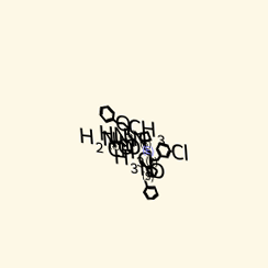 CC(OCc1ccccc1)[C@H](NC(=O)[C@H](C)N)C(=O)N1CCC[C@H]1/C=C/[C@@](C)(Cc1cccc(Cl)c1)C1=N[C@@H](Cc2ccccc2)CO1